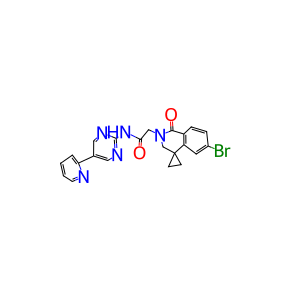 O=C(CN1CC2(CC2)c2cc(Br)ccc2C1=O)Nc1ncc(-c2ccccn2)cn1